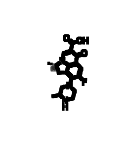 CC1CN(c2c(F)cc3c(=O)c(C(=O)O)cn4c3c2C[C@@H]4C)CCN1